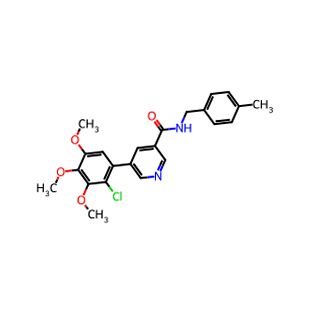 COc1cc(-c2cncc(C(=O)NCc3ccc(C)cc3)c2)c(Cl)c(OC)c1OC